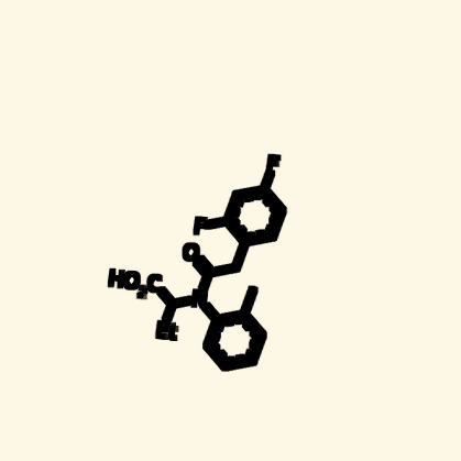 CCC(C(=O)O)N(C(=O)Cc1ccc(F)cc1F)c1ccccc1C